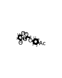 CC(=O)c1ccc(OCC(=O)ON2C(=O)CCC2=O)cc1